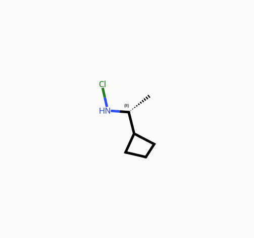 C[C@@H](NCl)C1CCC1